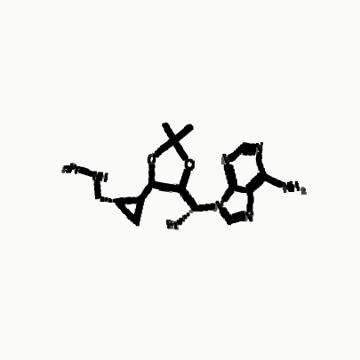 CCCNC[C@H]1CC1C1OC(C)(C)OC1[C@@H](CC)n1cnc2c(N)ncnc21